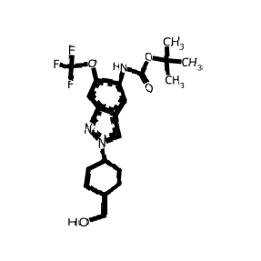 CC(C)(C)OC(=O)Nc1cc2cn(C3CCC(CO)CC3)nc2cc1OC(F)(F)F